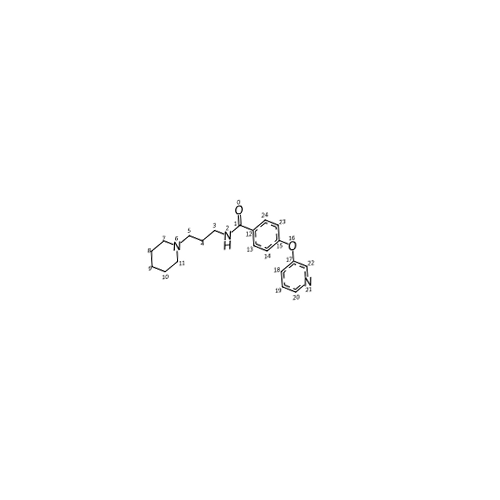 O=C(NCCCN1CCCCC1)c1ccc(Oc2cccnc2)cc1